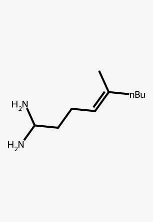 CCCCC(C)=CCCC(N)N